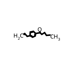 C=CCc1ccc(C(=O)CCCCC)cc1